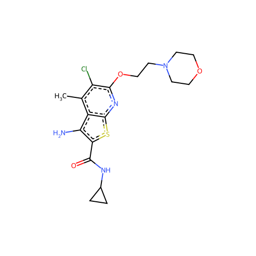 Cc1c(Cl)c(OCCN2CCOCC2)nc2sc(C(=O)NC3CC3)c(N)c12